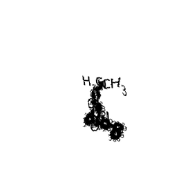 CN(C)CCN1CCN(C(=O)c2ccc3n2Cc2ccccc2N(C(=O)c2ccc(-c4cccc5ccccc45)cc2Cl)C3)CC1